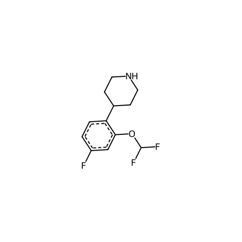 Fc1ccc(C2CCNCC2)c(OC(F)F)c1